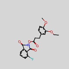 CCOc1cc(CCC(=O)ON2C(=O)c3cccc(F)c3C2=O)ccc1OC